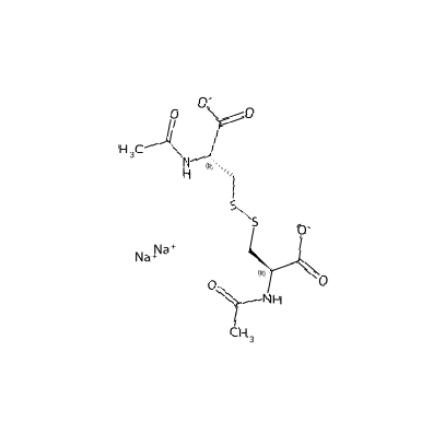 CC(=O)N[C@@H](CSSC[C@H](NC(C)=O)C(=O)[O-])C(=O)[O-].[Na+].[Na+]